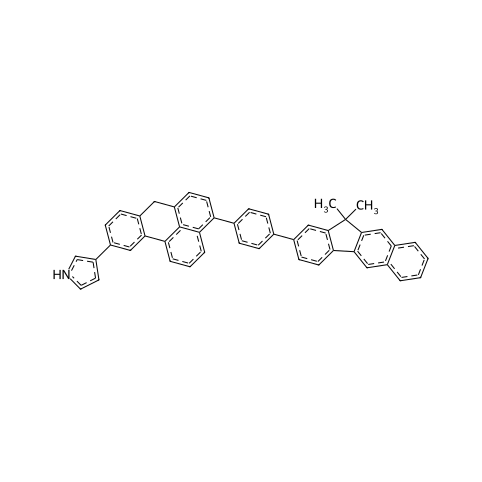 CC1(C)c2cc(-c3ccc(-c4ccc5c6c(cccc46)-c4cc(-c6cc[nH]c6)ccc4C5)cc3)ccc2-c2cc3ccccc3cc21